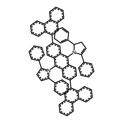 C1=CC(C2CC=C(c3ccccc3)N2c2c3cc(-c4cc5ccccc5c5ccccc45)ccc3c(-n3c(-c4ccccc4)ccc3-c3ccccc3)c3cc(-c4cc5ccccc5c5ccccc45)ccc23)=CCC1